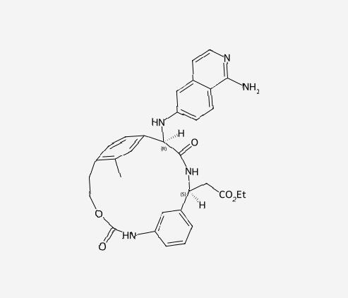 CCOC(=O)C[C@@H]1NC(=O)[C@H](Nc2ccc3c(N)nccc3c2)c2ccc(c(C)c2)CCOC(=O)Nc2cccc1c2